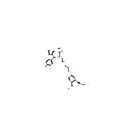 COC(=O)c1ccc(NC(=O)CCNC(=O)C[C@@H]2N=C(c3ccc(Cl)cc3)c3c(sc(C)c3C)-n3c(C)nnc32)cc1C#CCN.Cl